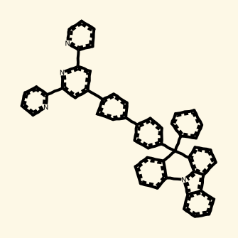 c1ccc(C2(c3ccc(-c4ccc(-c5cc(-c6ccccn6)nc(-c6ccccn6)c5)cc4)cc3)c3ccccc3-n3c4ccccc4c4cccc2c43)cc1